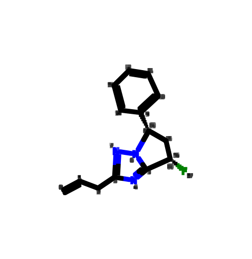 C=CCc1nc2n(n1)[C@H](c1ccccc1)C[C@@H]2F